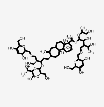 C=C1CC2CC[C@H]3[C@@](C)(CCC[C@@]3(C)C(=O)OC(OC(C)CO)C(O)C(COCC3OC(CO)C(O)=C[C@@H]3O)C(C)O)[C@@H]2CC[C@H]1CCC(OC(OC(CO)[C@H](C)O)[C@@H](O)CO)[C@@H](CO)COCC1OC(CO)C(O)=C[C@@H]1O